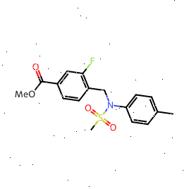 COC(=O)c1ccc(CN(c2ccc(C)cc2)S(C)(=O)=O)c(F)c1